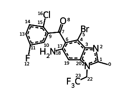 Cc1nc2c(Br)c(C(=O)c3cc(F)ccc3Cl)c(N)cc2n1CC(F)(F)F